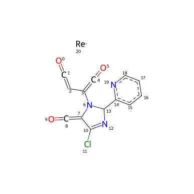 O=C=CC(=C=O)N1C(=C=O)C(Cl)=NC1c1ccccn1.[Re]